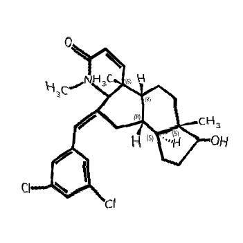 CN1C(=O)C=C[C@@]2(C)C1C(=Cc1cc(Cl)cc(Cl)c1)C[C@@H]1[C@H]2CC[C@]2(C)C(O)CC[C@@H]12